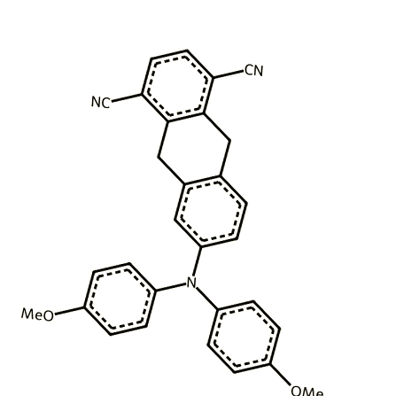 COc1ccc(N(c2ccc(OC)cc2)c2ccc3c(c2)Cc2c(C#N)ccc(C#N)c2C3)cc1